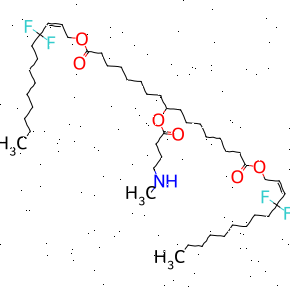 CCCCCCCCCC(F)(F)/C=C\COC(=O)CCCCCCCC(CCCCCCCC(=O)OC/C=C\C(F)(F)CCCCCCCCC)OC(=O)CCCNC